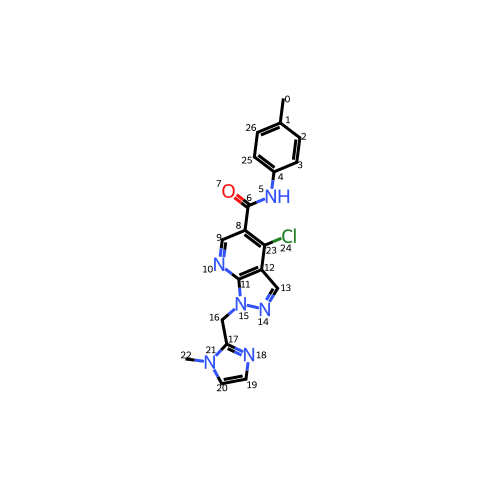 Cc1ccc(NC(=O)c2cnc3c(cnn3Cc3nccn3C)c2Cl)cc1